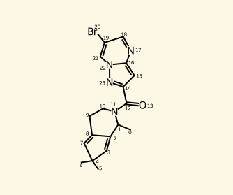 CC1C2=CC(C)(C)C=C2CCN1C(=O)c1cc2ncc(Br)cn2n1